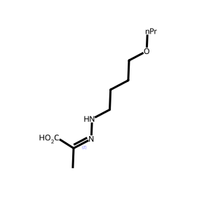 CCCOCCCCN/N=C(/C)C(=O)O